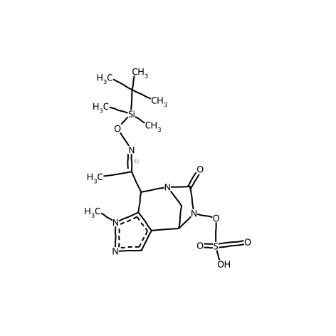 C/C(=N\O[Si](C)(C)C(C)(C)C)C1c2c(cnn2C)C2CN1C(=O)N2OS(=O)(=O)O